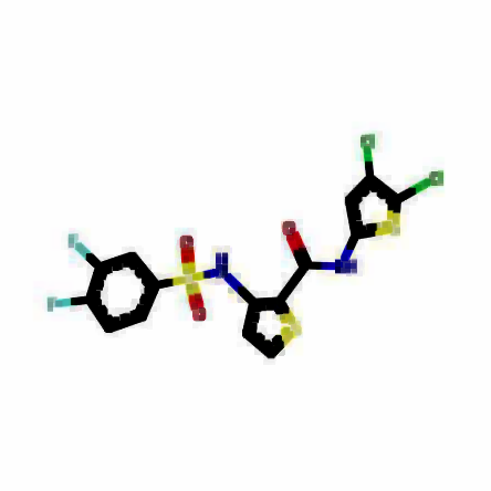 O=C(Nc1cc(Cl)c(Cl)s1)c1sccc1NS(=O)(=O)c1ccc(F)c(F)c1